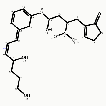 C[S+]([O-])C(CC1=CCCC1=O)CC(O)OC1=CC=CC(=C/C=C\C(O)CCCO)C1